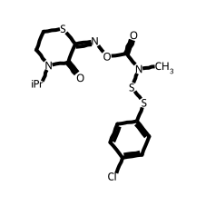 CC(C)N1CCSC(=NOC(=O)N(C)SSc2ccc(Cl)cc2)C1=O